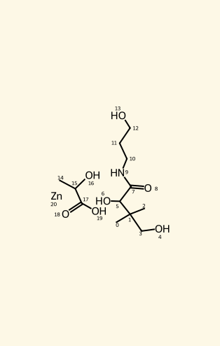 CC(C)(CO)C(O)C(=O)NCCCO.CC(O)C(=O)O.[Zn]